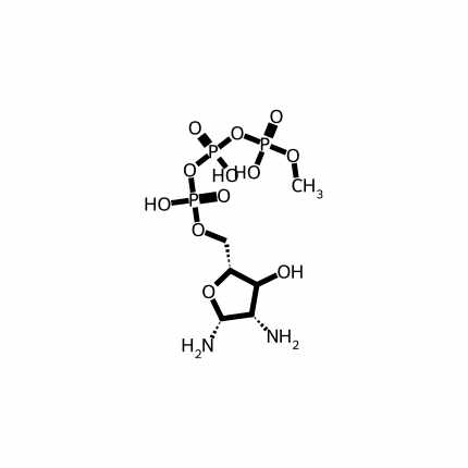 COP(=O)(O)OP(=O)(O)OP(=O)(O)OC[C@H]1O[C@@H](N)[C@@H](N)C1O